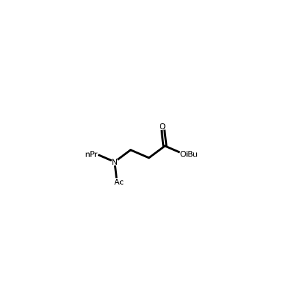 CCCN(CCC(=O)OCC(C)C)C(C)=O